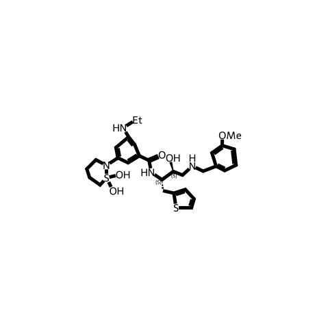 CCNc1cc(C(=O)N[C@@H](Cc2cccs2)[C@@H](O)CNCc2cccc(OC)c2)cc(N2CCCCS2(O)O)c1